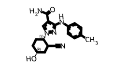 Cc1ccc(Nc2nn([C@H]3CC[C@@H](O)CC3C#N)cc2C(N)=O)cc1